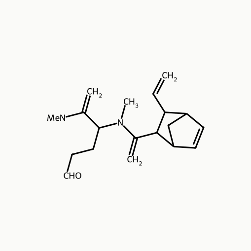 C=CC1C2C=CC(C2)C1C(=C)N(C)C(CCC=O)C(=C)NC